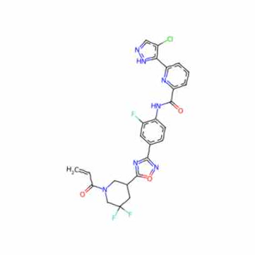 C=CC(=O)N1CC(c2nc(-c3ccc(NC(=O)c4cccc(-c5[nH]ncc5Cl)n4)c(F)c3)no2)CC(F)(F)C1